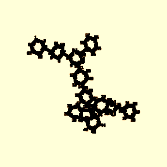 c1ccc(-c2ccc(-c3cc(-c4ccc(-c5ccc(C6(c7ccc8nc(-c9ccccc9)oc8c7)c7ccccc7-c7ccccc76)cc5)cc4)nc(-c4ccccc4)n3)cc2)cc1